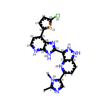 Cc1ncc(-c2ccc3[nH]nc(-c4nc5c(-c6ccc(Cl)s6)ccnc5[nH]4)c3n2)n1C